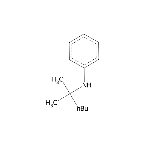 CC[CH]CC(C)(C)Nc1ccccc1